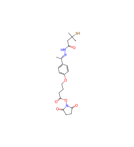 C/C(=N\NC(=O)CC(C)(C)S)c1ccc(OCCCC(=O)ON2C(=O)CCC2=O)cc1